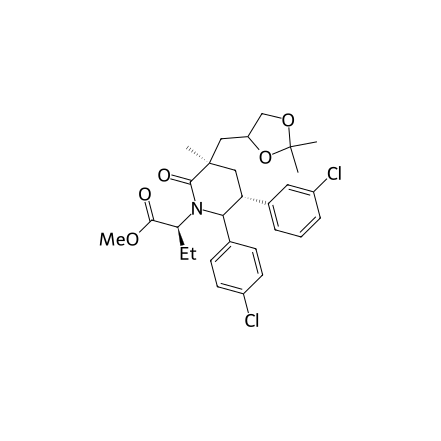 CC[C@@H](C(=O)OC)N1C(=O)[C@@](C)(CC2COC(C)(C)O2)C[C@H](c2cccc(Cl)c2)C1c1ccc(Cl)cc1